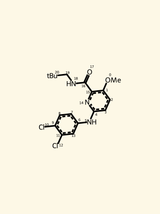 COc1ccc(Nc2ccc(Cl)c(Cl)c2)nc1C(=O)NCC(C)(C)C